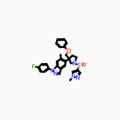 Cc1cc2c(cnn2-c2ccc(F)cc2)cc1C1(COc2ccccc2)CCN([S+]([O-])c2cnn(C)c2)C1